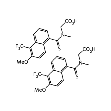 COc1ccc2c(C(=S)N(C)CC(=O)O)cccc2c1C(F)(F)F.COc1ccc2c(C(=S)N(C)CC(=O)O)cccc2c1C(F)(F)F